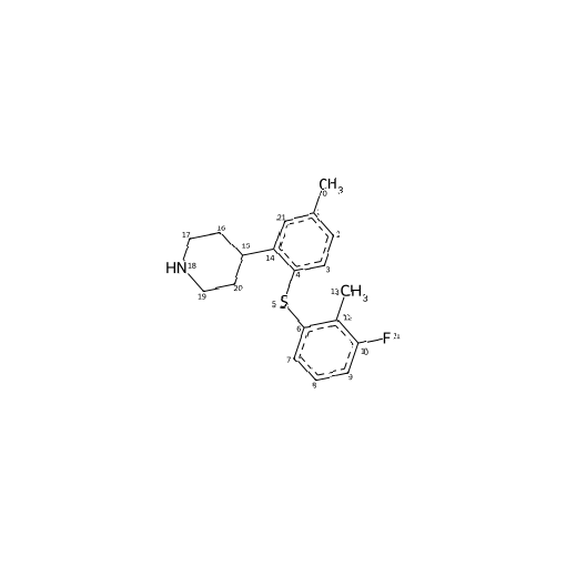 Cc1ccc(Sc2cccc(F)c2C)c(C2CCNCC2)c1